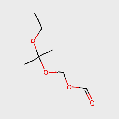 CCOC(C)(C)OCO[C]=O